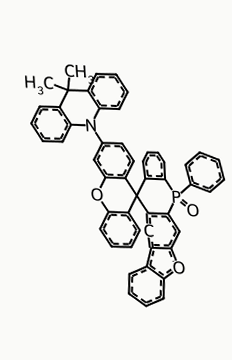 CC1(C)c2ccccc2N(c2ccc3c(c2)Oc2ccccc2C32c3ccccc3P(=O)(c3ccccc3)c3cc4oc5ccccc5c4cc32)c2ccccc21